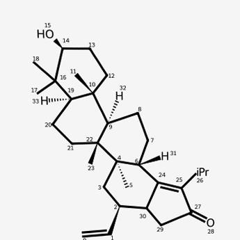 C=C[C@H]1C[C@]2(C)[C@H](CC[C@@H]3[C@@]4(C)CC[C@H](O)C(C)(C)[C@@H]4CC[C@]32C)C2=C(C(C)C)C(=O)CC21